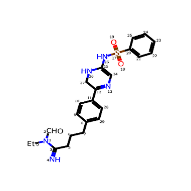 CCN(C=O)C(=N)CCCc1ccc(C2=NC=C(NS(=O)(=O)c3ccccc3)NC2)cc1